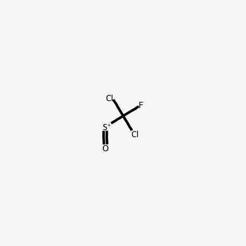 O=[S+]C(F)(Cl)Cl